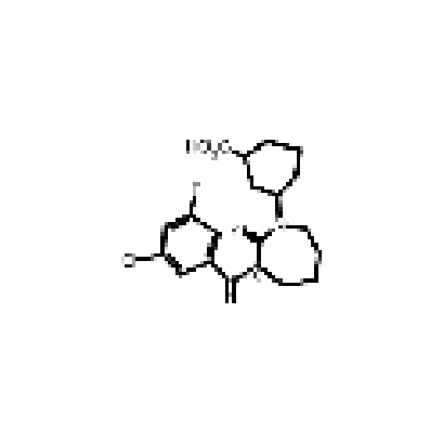 O=C(O)C1CCCC(N2CCCC[C@@H](Nc3cc(F)cc(Cl)c3)C2=O)C1